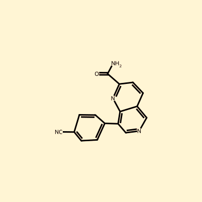 N#Cc1ccc(-c2cncc3ccc(C(N)=O)nc23)cc1